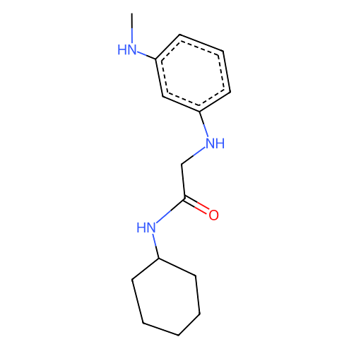 CNc1cccc(NCC(=O)NC2CCCCC2)c1